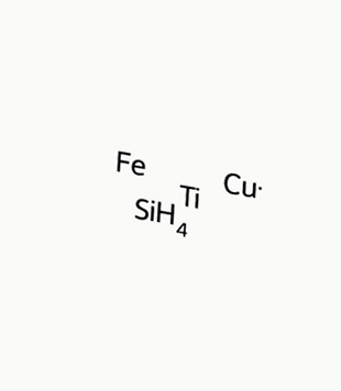 [Cu].[Fe].[SiH4].[Ti]